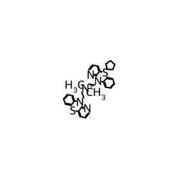 C1CCCC1.C[N+](C)(CCN1c2ccccc2Sc2cccnc21)CCN1c2ccccc2Sc2cccnc21